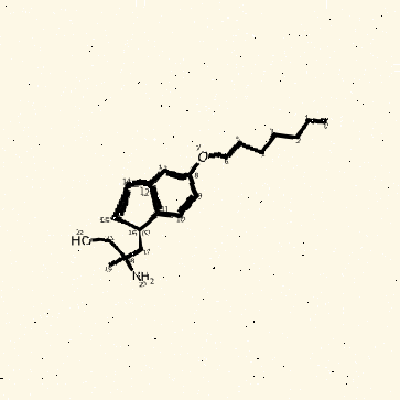 CCCCCCCOc1ccc2c(c1)C=C[C@@H]2CC(C)(N)CO